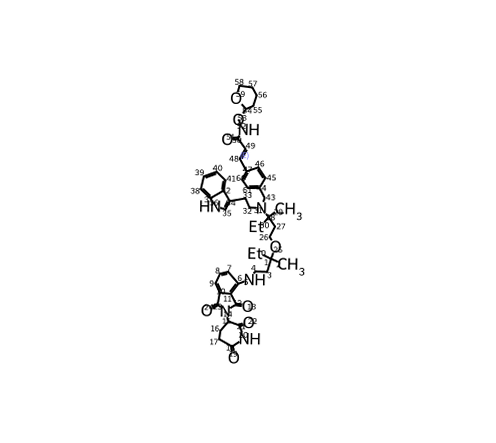 CCC(C)(CCNc1cccc2c1C(=O)N(C1CCC(=O)NC1=O)C2=O)OCCC(C)(CC)N(CCc1c[nH]c2ccccc12)Cc1ccc(/C=C/C(=O)NOC2CCCCO2)cc1